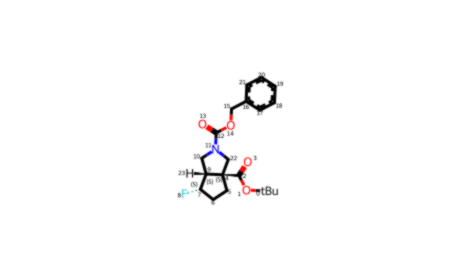 CC(C)(C)OC(=O)[C@@]12CC[C@H](F)[C@@H]1CN(C(=O)OCc1ccccc1)C2